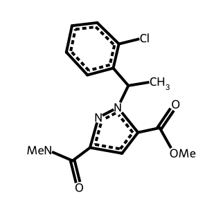 CNC(=O)c1cc(C(=O)OC)n(C(C)c2ccccc2Cl)n1